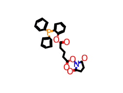 O=C(CCCC(=O)ON1C(=O)CCC1=O)Oc1ccccc1P(c1ccccc1)c1ccccc1